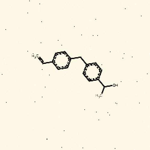 C=Cc1ccc(Cc2ccc(C(C)O)cc2)cc1